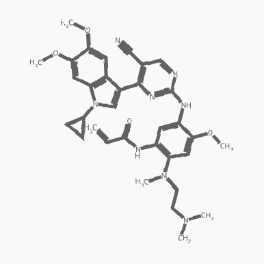 C=CC(=O)Nc1cc(Nc2ncc(C#N)c(-c3cn(C4CC4)c4cc(OC)c(OC)cc34)n2)c(OC)cc1N(C)CCN(C)C